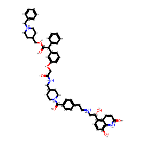 O=C(COc1cccc(C(C(=O)OCC2CCN(Cc3ccccc3)CC2)c2ccccc2)c1)NCC1CCN(C(=O)c2ccc(CCNC[C@H](O)c3ccc(O)c4[nH]c(=O)ccc34)cc2)CC1